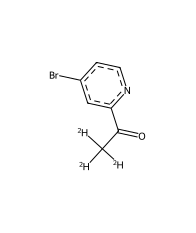 [2H]C([2H])([2H])C(=O)c1cc(Br)ccn1